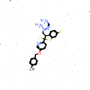 N#Cc1ccc(COc2ccc(C(F)(F)C(CN(N)/N=C\N)c3ccc(F)cc3F)nc2)cc1